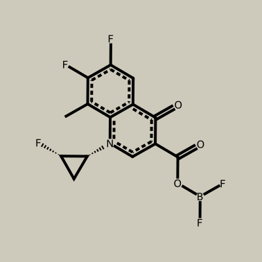 Cc1c(F)c(F)cc2c(=O)c(C(=O)OB(F)F)cn([C@@H]3C[C@@H]3F)c12